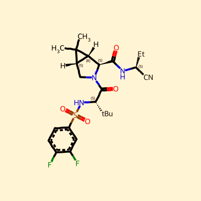 CC[C@@H](C#N)NC(=O)[C@@H]1[C@@H]2[C@H](CN1C(=O)[C@@H](NS(=O)(=O)c1ccc(F)c(F)c1)C(C)(C)C)C2(C)C